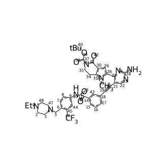 CCN1CCN(Cc2ccc(NS(=O)(=O)c3cccc(C#Cc4cnc(N)nc4-c4cc5c(n4C)CCN(C(=O)OC(C)(C)C)C5=O)c3)cc2C(F)(F)F)CC1